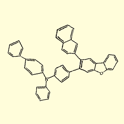 c1ccc(-c2ccc(N(c3ccccc3)c3ccc(-c4cc5oc6ccccc6c5cc4-c4ccc5ccccc5c4)cc3)cc2)cc1